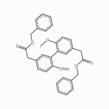 COc1ccc(CC(=O)OCc2ccccc2)cc1-c1cc(CC(=O)OCc2ccccc2)ccc1OI